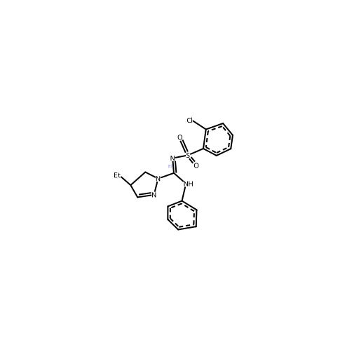 CCC1C=NN(/C(=N/S(=O)(=O)c2ccccc2Cl)Nc2ccccc2)C1